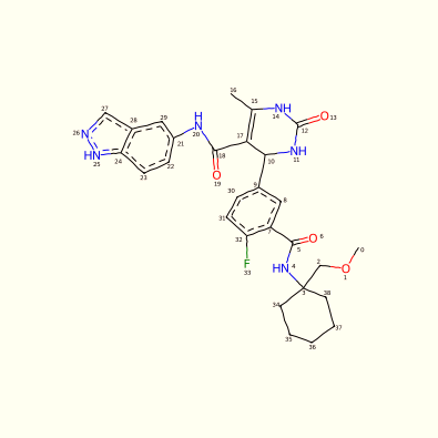 COCC1(NC(=O)c2cc(C3NC(=O)NC(C)=C3C(=O)Nc3ccc4[nH]ncc4c3)ccc2F)CCCCC1